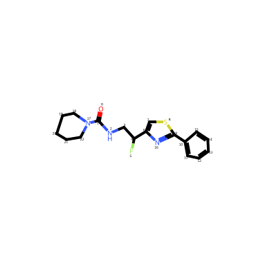 O=C(NCC(F)c1csc(-c2ccccc2)n1)N1CCCCC1